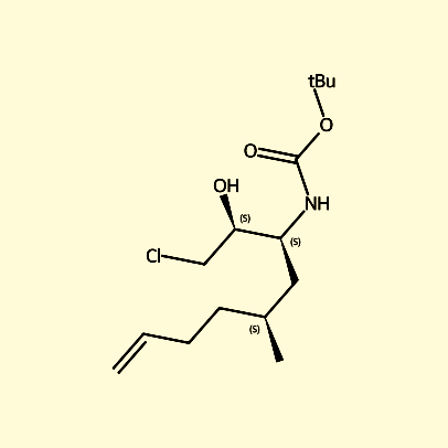 C=CCC[C@H](C)C[C@H](NC(=O)OC(C)(C)C)[C@H](O)CCl